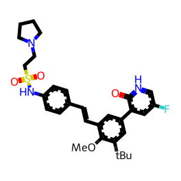 COc1c(/C=C/c2ccc(NS(=O)(=O)CCN3CCCC3)cc2)cc(-c2cc(F)c[nH]c2=O)cc1C(C)(C)C